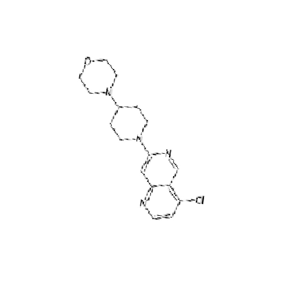 Clc1ccnc2cc(N3CCC(N4CCOCC4)CC3)ncc12